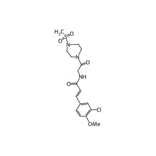 COc1ccc(/C=C/C(=O)NCC(=O)N2CCN(S(C)(=O)=O)CC2)cc1Cl